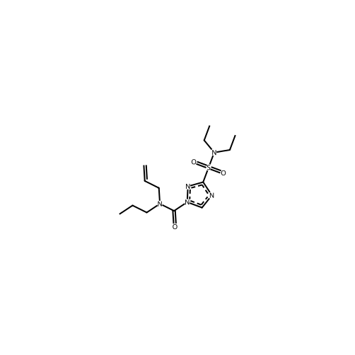 C=CCN(CCC)C(=O)n1cnc(S(=O)(=O)N(CC)CC)n1